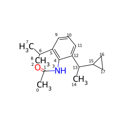 CC(=O)Nc1c(C(C)C)cccc1C(C)C1CC1